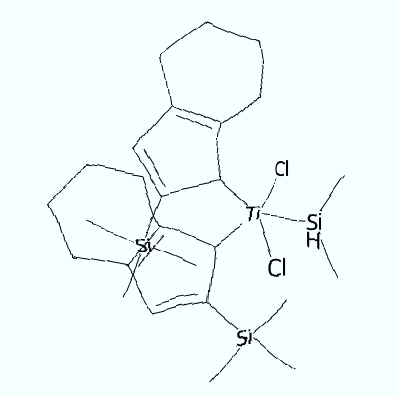 C[SiH](C)[Ti]([Cl])([Cl])([CH]1C([Si](C)(C)C)=CC2=C1CCCC2)[CH]1C([Si](C)(C)C)=CC2=C1CCCC2